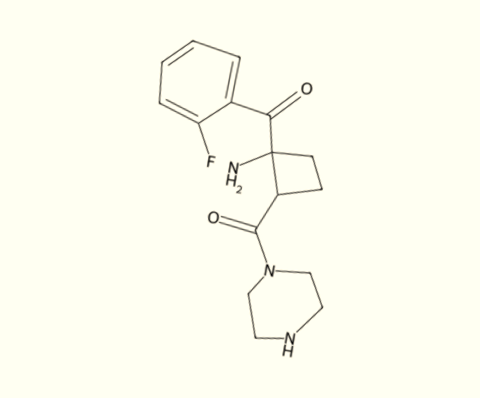 NC1(C(=O)c2ccccc2F)CCC1C(=O)N1CCNCC1